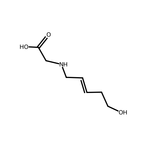 O=C(O)CNC/C=C/CCO